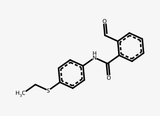 CCSc1ccc(NC(=O)c2ccccc2C=O)cc1